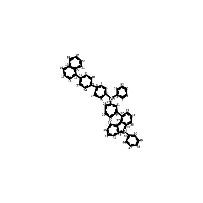 c1ccc(N(c2ccc(-c3ccc(-c4cccc5ccccc45)cc3)cc2)c2cccc(-c3cccc4c3c3ccccc3n4-c3ccccc3)c2)cc1